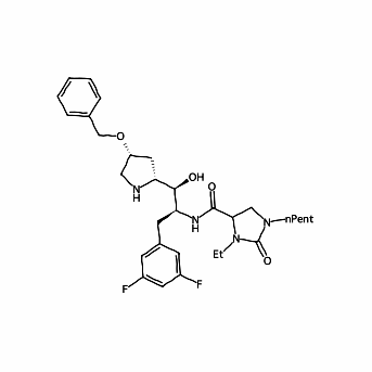 CCCCCN1CC(C(=O)N[C@@H](Cc2cc(F)cc(F)c2)[C@H](O)[C@H]2C[C@@H](OCc3ccccc3)CN2)N(CC)C1=O